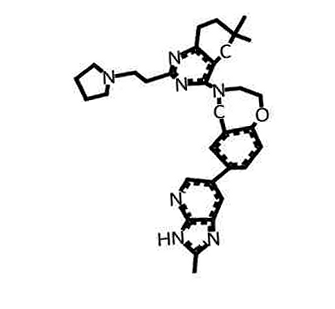 Cc1nc2cc(-c3ccc4c(c3)CN(c3nc(CCN5CCCC5)nc5c3CC(C)(C)CC5)CCO4)cnc2[nH]1